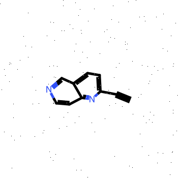 C#Cc1ccc2cn[c]cc2n1